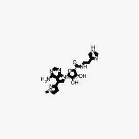 Cn1ccc(-c2cn([C@@H]3O[C@H](C(=O)NCCc4c[nH]cn4)[C@@H](O)[C@H]3O)c3ncnc(N)c23)n1